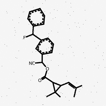 CC(C)=CC1C(C(=O)OC(C#N)c2cccc(C(F)c3ccccc3)c2)C1(C)C